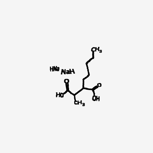 CCCCCC(C(=O)O)C(C)C(=O)O.[NaH].[NaH]